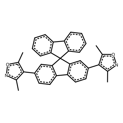 Cc1noc(C)c1-c1ccc2c(c1)C1(c3ccccc3-c3ccccc31)c1cc(-c3c(C)noc3C)ccc1-2